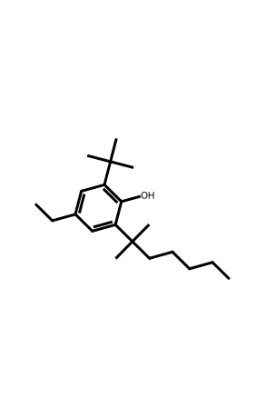 CCCCCC(C)(C)c1cc(CC)cc(C(C)(C)C)c1O